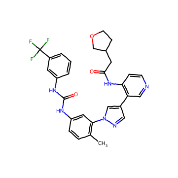 Cc1ccc(NC(=O)Nc2cccc(C(F)(F)F)c2)cc1-n1cc(-c2cnccc2NC(=O)CC2CCOC2)cn1